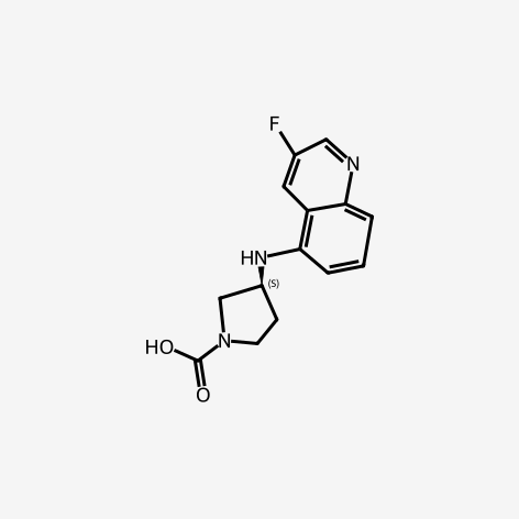 O=C(O)N1CC[C@H](Nc2cccc3ncc(F)cc23)C1